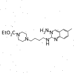 CCOC(=O)N1CCN(CCCCNC2N=c3ccc(C)cc3=CN2N)CC1